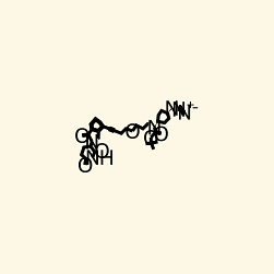 CC(C)(C)OC(=O)N(CCCOCCC#Cc1cccc2c1CN(C1CCC(=O)NC1=O)C2=O)[C@H]1CC[C@@H](N=[N+]=[N-])CC1